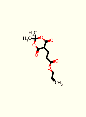 C=CCOC(=O)CCC1C(=O)OC(C)(C)OC1=O